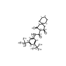 O=C1CC2(CCCCC2)CC(=O)C1C(=O)Nc1cc(C(F)(F)F)cc(C(F)(F)F)c1